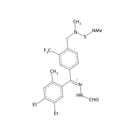 CCc1cc(C)c(/C(=N\NC=O)c2ccc(CN(C)SNC)c(C(F)(F)F)c2)cc1CC